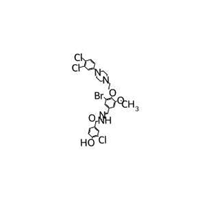 COc1cc(/C=N/NC(=O)c2ccc(O)c(Cl)c2)cc(Br)c1OCCN1CCN(c2ccc(Cl)c(Cl)c2)CC1